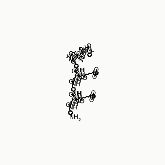 CC[C@H](C)[C@@H]([C@@H](CC(=O)N1CCC[C@H]1[C@H](OC)[C@@H](C)C(=O)N[C@H](C)[C@@H](C)c1ccccc1)OC)N(C)C(=O)[C@@H](NC(=O)[C@H](C(C)C)N(C)C(=O)OCc1ccc(NC(=O)[C@H](CCCNC(=O)NCc2ccc(NC(=O)[C@H](CCCNC(=O)NCc3ccc(N)cc3)NC(=O)[C@@H](NC(=O)CCCCCN3C(=O)C=CC3=O)C(C)C)cc2)NC(=O)[C@@H](NC(=O)CCCCCN2C(=O)C=CC2=O)C(C)C)cc1)C(C)C